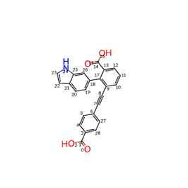 O=C(O)c1ccc(C#Cc2cccc(C(=O)O)c2-c2ccc3cc[nH]c3c2)cc1